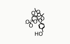 COC(=O)[C@@H]1C[C@H](OC(C)=O)[C@@H](OC(C)=O)[C@H](Oc2ccc(CO)cc2)O1